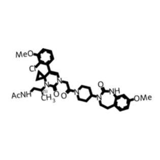 COc1ccc2c(c1)NC(=O)N(C1CCN(C(=O)CN3C=C(c4cccc(OC)c4Cl)C4(CC4)N([C@@H](C)CNC(C)=O)C3=O)CC1)CC2